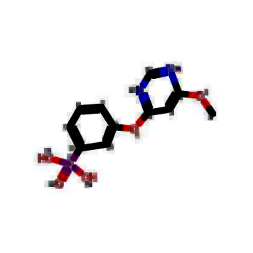 COc1cc(Oc2cccc(P(=O)(O)O)c2)ncn1